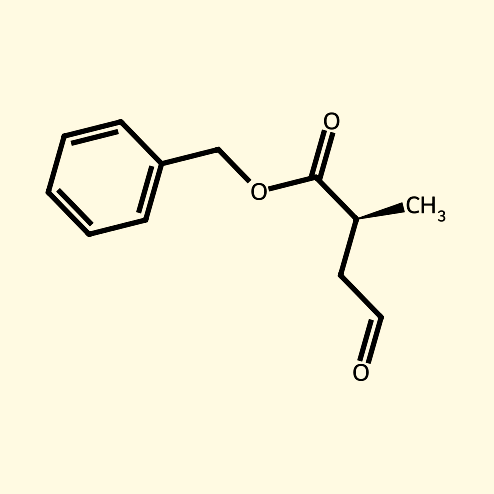 C[C@@H](CC=O)C(=O)OCc1ccccc1